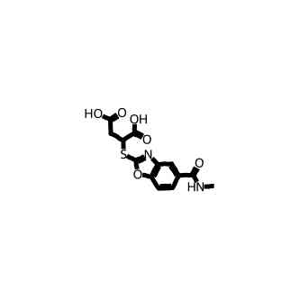 CNC(=O)c1ccc2oc(SC(CC(=O)O)C(=O)O)nc2c1